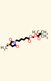 CSC1CC(=O)N(CCCCCC(=O)OCOC(=O)C(C)(C)C)C1=O